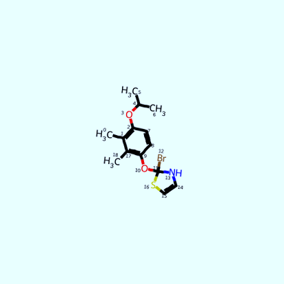 Cc1c(OC(C)C)ccc(OC2(Br)NC=CS2)c1C